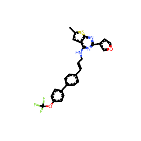 Cc1cc2c(NC/C=C/c3ccc(-c4ccc(OC(F)(F)F)cc4)cc3)nc(-c3ccoc3)nc2s1